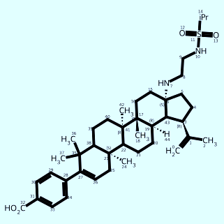 C=C(C)[C@@H]1CC[C@]2(NCCNS(=O)(=O)C(C)C)CC[C@]3(C)[C@H](CCC4[C@@]5(C)CC=C(c6ccc(C(=O)O)cc6)C(C)(C)C5CC[C@]43C)C12